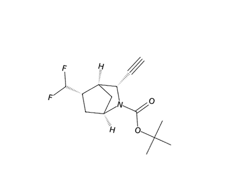 C#C[C@H]1[C@H]2C[C@H](C[C@@H]2C(F)F)N1C(=O)OC(C)(C)C